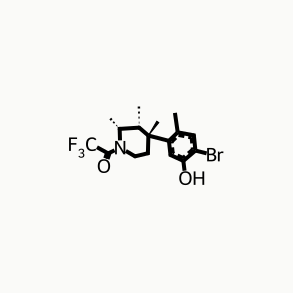 Cc1cc(Br)c(O)cc1[C@]1(C)CCN(C(=O)C(F)(F)F)[C@H](C)[C@@H]1C